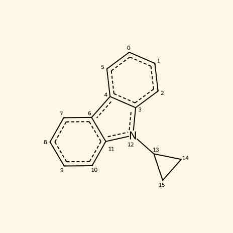 c1ccc2c(c1)c1ccccc1n2C1CC1